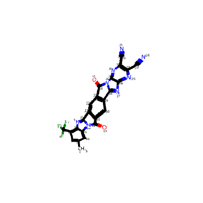 Cc1cc(C(F)(F)F)c2nc3c4cc5c(=O)n6c7nc(C#N)c(C#N)nc7nc6c5cc4c(=O)n3c2c1